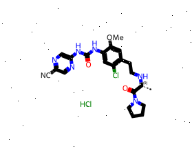 COc1cc(CCN[C@H](C)C(=O)N2CCCC2)c(Cl)cc1NC(=O)Nc1cnc(C#N)cn1.Cl